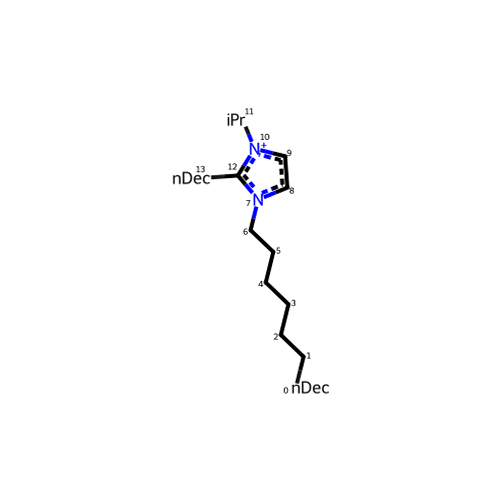 CCCCCCCCCCCCCCCCn1cc[n+](C(C)C)c1CCCCCCCCCC